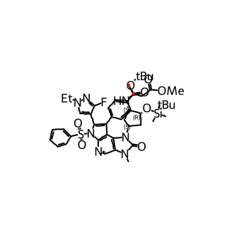 CCn1cc(-c2c(-c3ccc(C(C)CC(=O)OC)cc3)c3c(ncc4c3n([C@H]3C[C@H](NC(=O)OC(C)(C)C)[C@H](O[Si](C)(C)C(C)(C)C)C3)c(=O)n4C)n2S(=O)(=O)c2ccccc2)c(F)n1